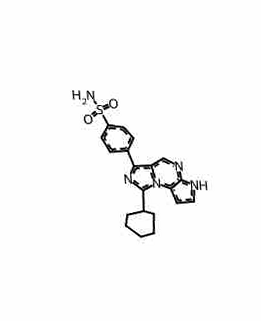 NS(=O)(=O)c1ccc(-c2nc(C3CCCCC3)n3c2cnc2[nH]ccc23)cc1